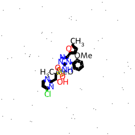 COc1cccc(OC)c1-n1c(NS(=O)(=O)[C@@H](C)[C@H](O)c2nccc(Cl)n2)nnc1-c1ccc(C)o1